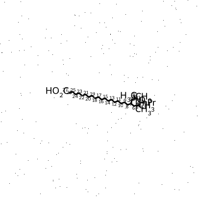 CCCON1C(C)(C)CC(CCCCCCCCCCCCCCCCCCCC(=O)O)CC1(C)C